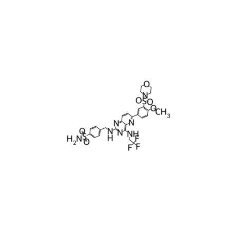 COc1ccc(-c2ccc3nc(NCc4ccc(S(N)(=O)=O)cc4)nc(NCC(F)(F)F)c3n2)cc1S(=O)(=O)N1CCOCC1